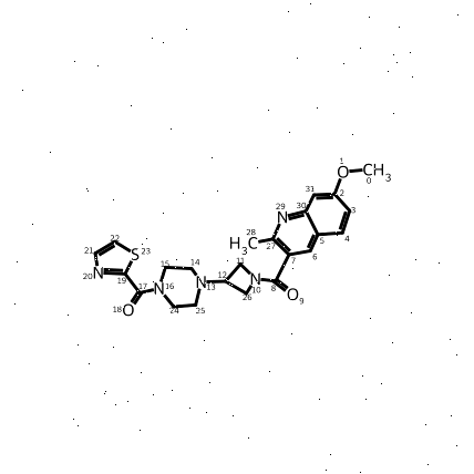 COc1ccc2cc(C(=O)N3CC(N4CCN(C(=O)c5nccs5)CC4)C3)c(C)nc2c1